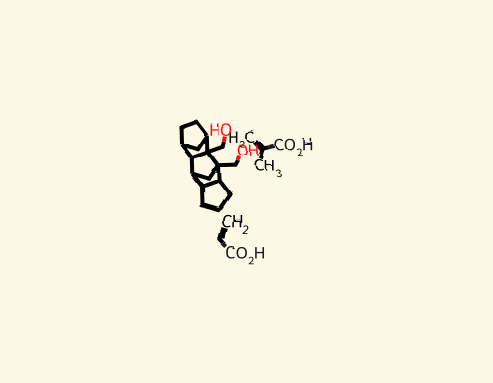 C=C(C)C(=O)O.C=CC(=O)O.OCC12CC(C3CCCC31)C1C3CCC(C3)C12CO